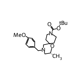 COc1ccc(CN2C[C@@H](C)OC3(CCN(C(=O)OC(C)(C)C)CC3)C2)cc1